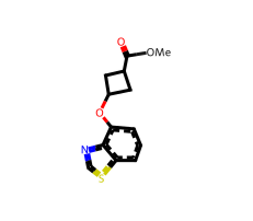 COC(=O)C1CC(Oc2cccc3scnc23)C1